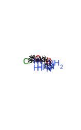 Nc1ncnc2[nH]cc(C(=O)c3cccc(NC(=O)Nc4cccc(Cl)c4)c3)c12